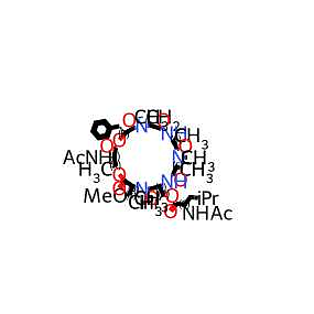 C=C1C(=O)N[C@@H](C)C(=O)N(C)[C@@H](C)C(=O)N[C@@H]([C@H](OC(=O)[C@H](CC(C)C)NC(C)=O)C(C)C)C(=O)N(C)[C@@H]([C@@H](C)OC)C(=O)O[C@H](C)[C@H](NC(C)=O)C(=O)O[C@H](Cc2ccccc2)C(=O)N1C